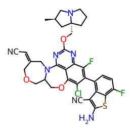 C[C@H]1CN2CCC[C@@]2(COc2nc3c4c(c(Cl)c(-c5ccc(F)c6sc(N)c(C#N)c56)c(F)c4n2)OCC2COC/C(=C\C#N)CN32)C1